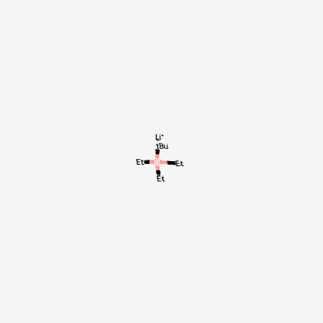 CC[B-](CC)(CC)C(C)(C)C.[Li+]